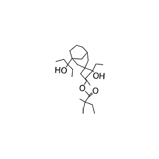 CCC(C)(I)C(=O)OCCC1(C(O)(CC)CC)CC2CCCC(C(O)(CC)CC)(C2)C1